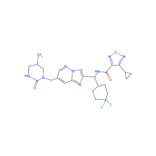 O=C(NC(c1cn2ncc(CN3CC(C(F)(F)F)CNC3=O)cc2n1)C1CCC(F)(F)CC1)c1nonc1C1CC1